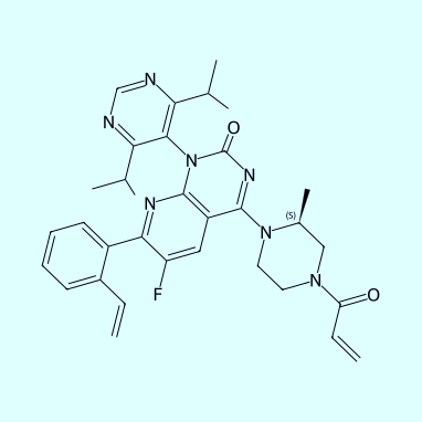 C=CC(=O)N1CCN(c2nc(=O)n(-c3c(C(C)C)ncnc3C(C)C)c3nc(-c4ccccc4C=C)c(F)cc23)[C@@H](C)C1